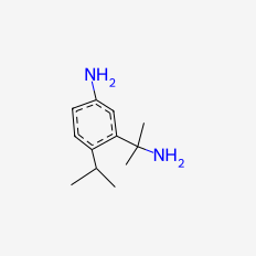 CC(C)c1ccc(N)cc1C(C)(C)N